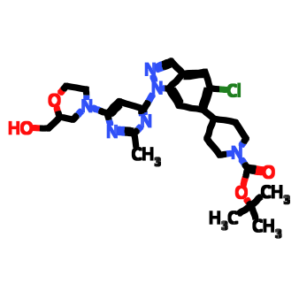 Cc1nc(N2CCOC(CO)C2)cc(-n2ncc3cc(Cl)c(C4CCN(C(=O)OC(C)(C)C)CC4)cc32)n1